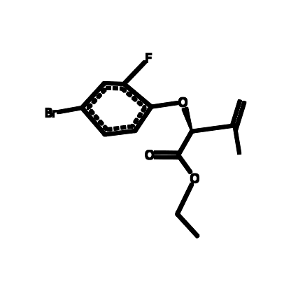 C=C(C)[C@H](Oc1ccc(Br)cc1F)C(=O)OCC